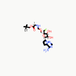 CCC(C)(C)COC(=O)[C@H](C)NCOC[C@@]1(CF)O[C@@H](c2ccc3c(N)ncnn23)[C@H](O)[C@@H]1O